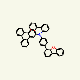 C1=CC(c2ccc(N(c3ccc4c5ccccc5c5ccccc5c4c3)c3ccccc3-c3ccccc3)cc2)C2Oc3ccccc3C2=C1